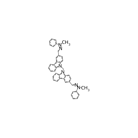 CN(/N=C/c1ccc2c(c1)c1ccccc1n2Cn1c2ccccc2c2cc(/C=N/N(C)c3ccccc3)ccc21)c1ccccc1